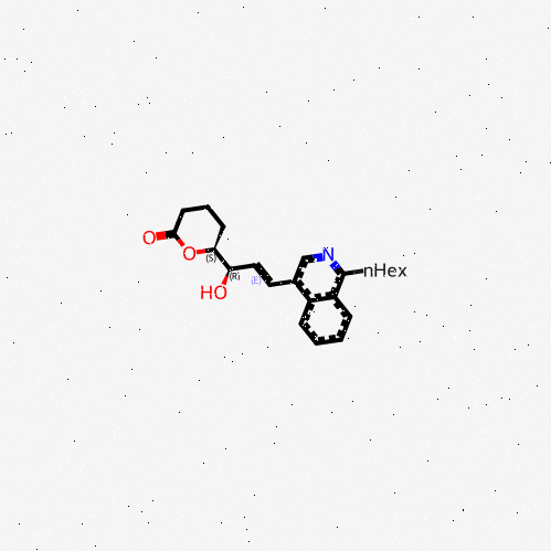 CCCCCCc1ncc(/C=C/[C@@H](O)[C@@H]2CCCC(=O)O2)c2ccccc12